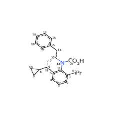 CC(C)c1cccc([C@@H](C)C2CC2)c1N(CCc1ccccc1)C(=O)O